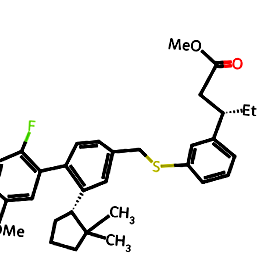 CC[C@@H](CC(=O)OC)c1cccc(SCc2ccc(-c3cc(OC)ccc3F)c([C@H]3CCCC3(C)C)c2)c1